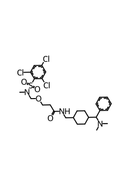 CN(C)C(c1ccccc1)C1CCC(CNC(=O)CCOCN(C)S(=O)(=O)c2c(Cl)cc(Cl)cc2Cl)CC1